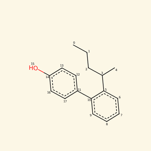 CCCC(C)c1ccccc1-c1ccc(O)cc1